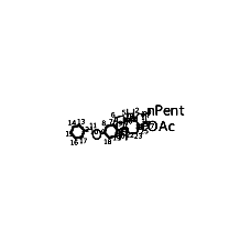 CCCCC[C@@H]1C[C@H]2[C@@H]3CCc4cc(OCc5ccccc5)ccc4[C@H]3CC[C@]2(C)[C@H]1OC(C)=O